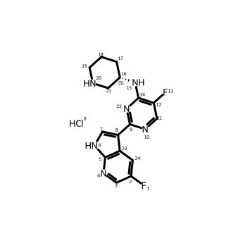 Cl.Fc1cnc2[nH]cc(-c3ncc(F)c(N[C@H]4CCCNC4)n3)c2c1